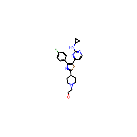 O=CCN1CCC(c2nc(-c3ccc(F)cc3)c(-c3ccnc(NC4CC4)n3)s2)CC1